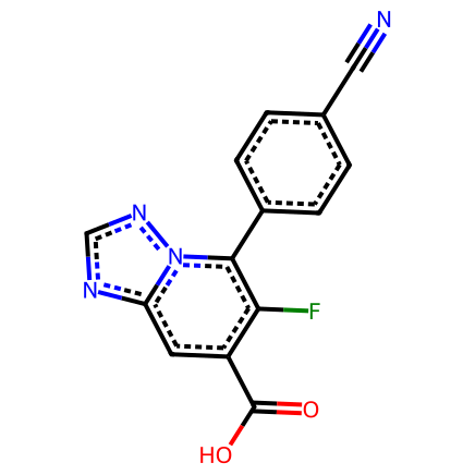 N#Cc1ccc(-c2c(F)c(C(=O)O)cc3ncnn23)cc1